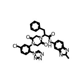 CC1N=c2ccc(NC(=O)C(Cc3ccccc3)N3CC(=O)N(c4cc(Cl)ccc4-n4cnnn4)CC3=O)cc2=N1